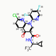 O=C(NC(C1CC1)C(F)(F)F)c1cn(-c2ncc(F)cc2F)c2nc(Cl)ccc2c1=O